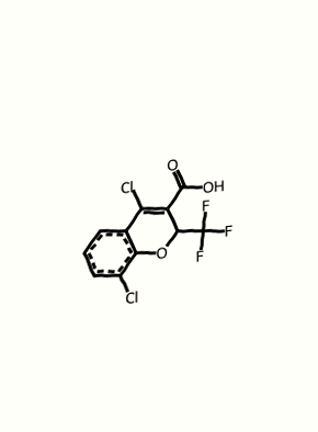 O=C(O)C1=C(Cl)c2cccc(Cl)c2OC1C(F)(F)F